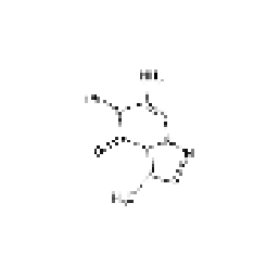 Cc1cnn2nc(N)n(C(C)(C)C)c(=O)c12